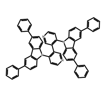 c1ccc(-c2ccc3c(c2)c2cc(-c4ccccc4)ccc2n3-c2ccncc2-c2cnccc2-n2c3ccc(-c4ccccc4)cc3c3cc(-c4ccccc4)ccc32)cc1